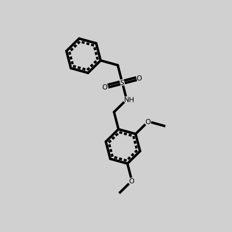 COc1ccc(CNS(=O)(=O)Cc2ccccc2)c(OC)c1